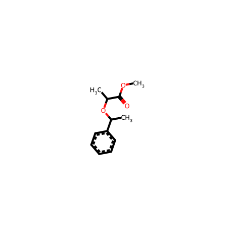 COC(=O)C(C)OC(C)c1ccccc1